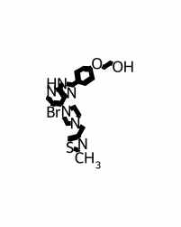 Cc1nc(CN2CCN(c3c(Br)cnc4[nH]c(-c5ccc(OCCO)cc5)nc34)CC2)cs1